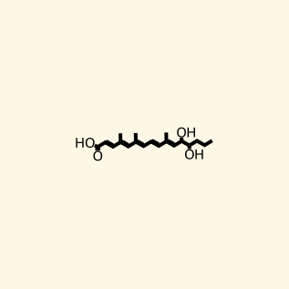 CCCC(O)C(O)/C=C(C)/C=C/C=C(C)/C=C(C)/C=C/C(=O)O